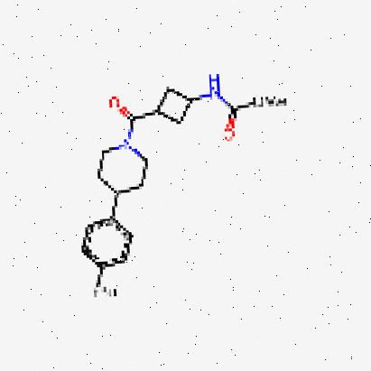 COC(=O)NC1CC(C(=O)N2CCC(c3ccc(C(C)(C)C)cc3)CC2)C1